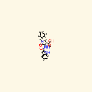 O=C(NC1C(=O)N(Cc2ccccc2)CC1C(=O)O)c1cc2ccccc2[nH]1